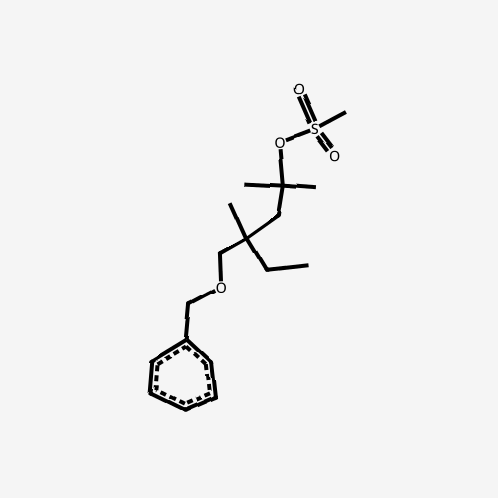 CCC(C)(COCc1ccccc1)CC(C)(C)OS(C)(=O)=O